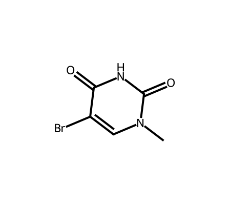 Cn1cc(Br)c(=O)[nH]c1=O